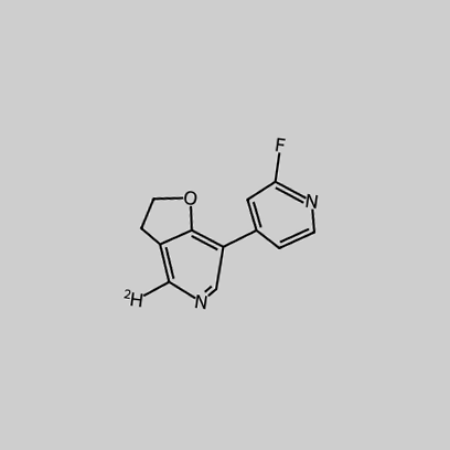 [2H]c1ncc(-c2ccnc(F)c2)c2c1CCO2